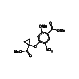 COC(=O)c1cc([N+](=O)[O-])c(OC2(C(=O)OC)CC2)cc1OC